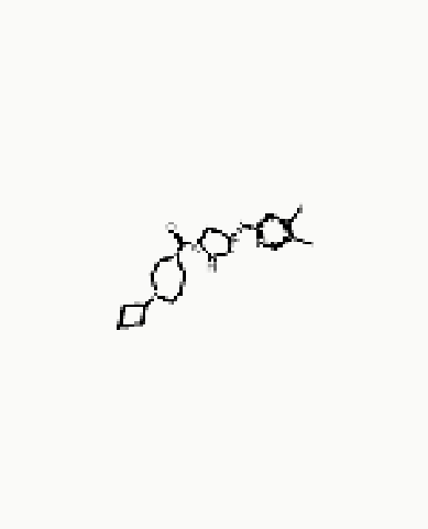 Cc1cnc(O[C@@H]2CN[C@@H](C(=O)N3CCCN(C4CCC4)CC3)C2)cc1I